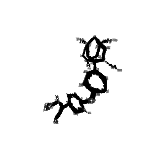 O=C(NO)c1ccc(Oc2ccc(C3[C@H]4C[C@@H]5C[C@@H](C[C@H]3C5)C4)cc2)nc1